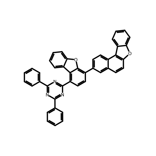 c1ccc(-c2nc(-c3ccccc3)nc(-c3ccc(-c4ccc5c(ccc6oc7ccccc7c65)c4)c4oc5ccccc5c34)n2)cc1